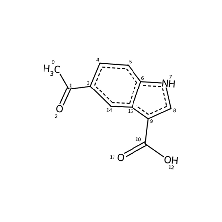 CC(=O)c1ccc2[nH]cc(C(=O)O)c2c1